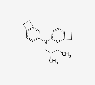 CCC(C)CN(c1ccc2c(c1)CC2)c1ccc2c(c1)CC2